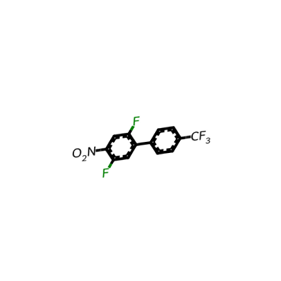 O=[N+]([O-])c1cc(F)c(-c2ccc(C(F)(F)F)cc2)cc1F